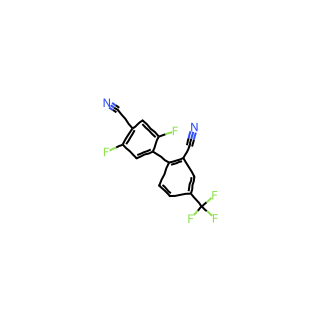 N#Cc1cc(F)c(-c2ccc(C(F)(F)F)cc2C#N)cc1F